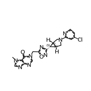 Cn1cnc2ncn(Cc3nc([C@@H]4[C@@H]5CN(c6cc(Cl)ccn6)C[C@@H]54)no3)c(=O)c21